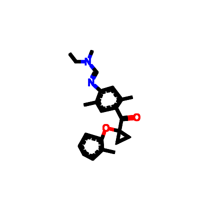 CCN(C)C=Nc1cc(C)c(C(=O)C2(Oc3ccccc3C)CC2)cc1C